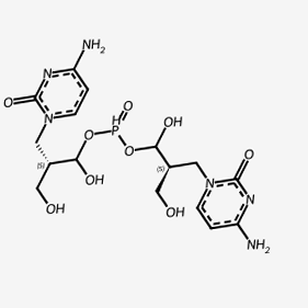 Nc1ccn(C[C@@H](CO)C(O)O[PH](=O)OC(O)[C@H](CO)Cn2ccc(N)nc2=O)c(=O)n1